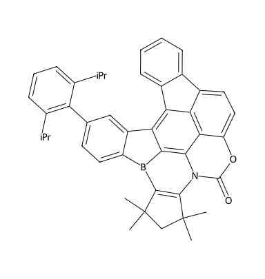 CC(C)c1cccc(C(C)C)c1-c1ccc2c(c1)-c1c3c4c5c(ccc6c7ccccc7c1c65)oc(=O)n4C1=C(B23)C(C)(C)CC1(C)C